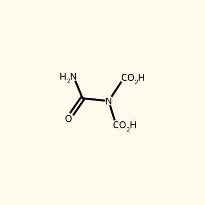 NC(=O)N(C(=O)O)C(=O)O